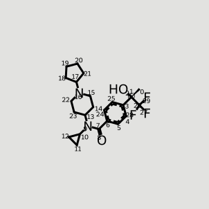 C[C@](O)(c1ccc(C(=O)N(C2CC2)C2CCN(C3CCCC3)CC2)cc1)C(F)(F)F